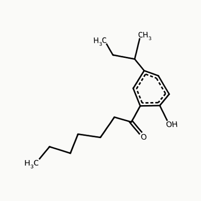 CCCCCCC(=O)c1cc(C(C)CC)ccc1O